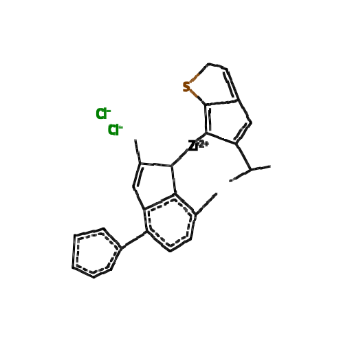 CC1=Cc2c(-c3ccccc3)ccc(C)c2[CH]1[Zr+2][C]1=C2SCC=C2C=C1C(C)C.[Cl-].[Cl-]